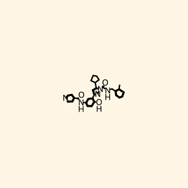 Cc1ccccc1CNC(=O)n1nc(-c2cc(NC(=O)c3ccncc3)ccc2O)cc1C1CCCC1